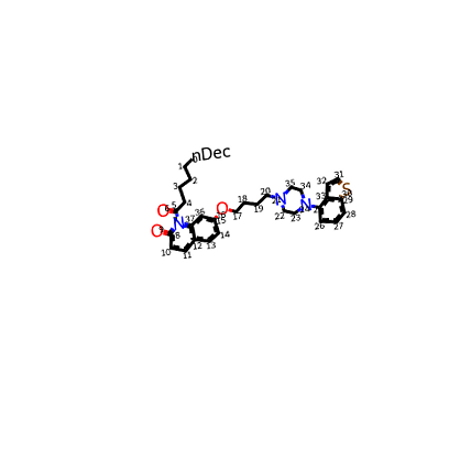 CCCCCCCCCCCCCCC(=O)n1c(=O)ccc2ccc(OCCCCN3CCN(c4cccc5sccc45)CC3)cc21